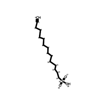 C#CCCCCCCCCCCCCCS(=O)(=O)O